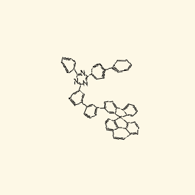 c1ccc(-c2ccc(-c3nc(-c4ccccc4)nc(-c4cccc(-c5cccc(-c6ccc7c(c6)C6(c8ccccc8-7)c7cccc8ccc9cccc6c9c78)c5)c4)n3)cc2)cc1